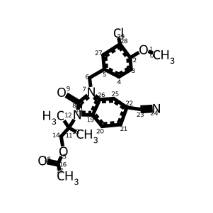 COc1ccc(Cn2c(=O)n(C(C)(C)COC(C)=O)c3ccc(C#N)cc32)cc1Cl